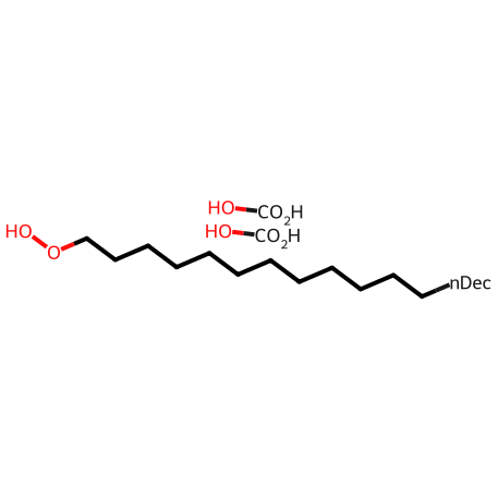 CCCCCCCCCCCCCCCCCCCCCCOO.O=C(O)O.O=C(O)O